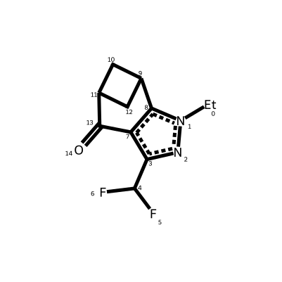 CCn1nc(C(F)F)c2c1C1CC(C1)C2=O